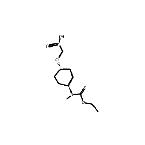 CCOC(=O)N(C)[C@H]1CC[C@H](OCS(=O)O)CC1